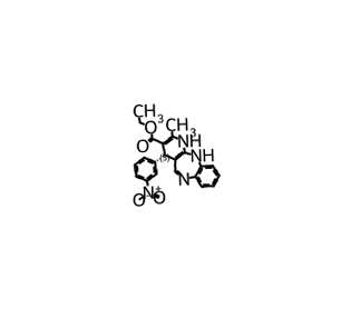 CCOC(=O)C1=C(C)NC2=C(C=Nc3ccccc3N2)[C@@H]1c1cccc([N+](=O)[O-])c1